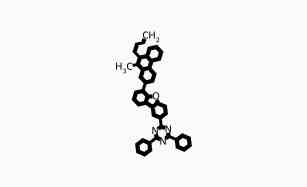 C=C/C=C\c1c(C)c2cc(-c3cccc4c3oc3ccc(-c5nc(-c6ccccc6)nc(-c6ccccc6)n5)cc34)ccc2c2ccccc12